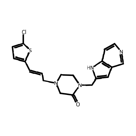 O=C1CN(CC=Cc2ccc(Cl)s2)CCN1Cc1cc2cnccc2[nH]1